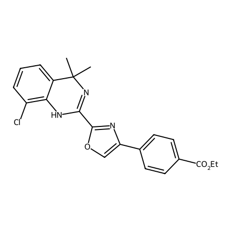 CCOC(=O)c1ccc(-c2coc(C3=NC(C)(C)c4cccc(Cl)c4N3)n2)cc1